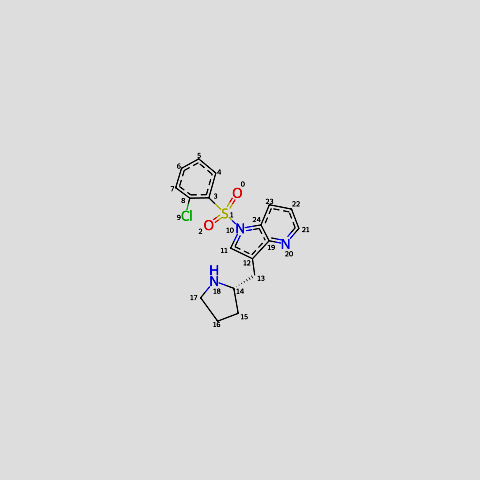 O=S(=O)(c1ccccc1Cl)n1cc(C[C@@H]2CCCN2)c2ncccc21